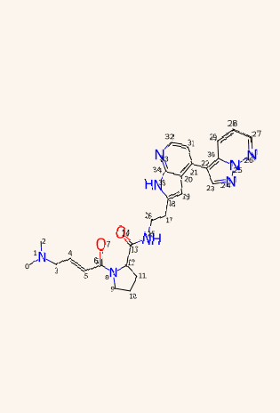 CN(C)CC=CC(=O)N1CCCC1C(=O)NCCc1cc2c(-c3cnn4ncccc34)ccnc2[nH]1